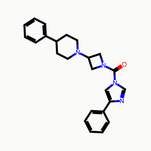 O=C(N1CC(N2CCC(c3ccccc3)CC2)C1)n1cnc(-c2ccccc2)c1